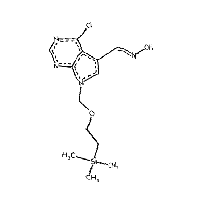 C[Si](C)(C)CCOCn1cc(/C=N/O)c2c(Cl)ncnc21